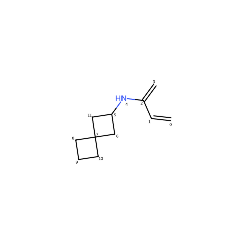 C=CC(=C)NC1CC2(CCC2)C1